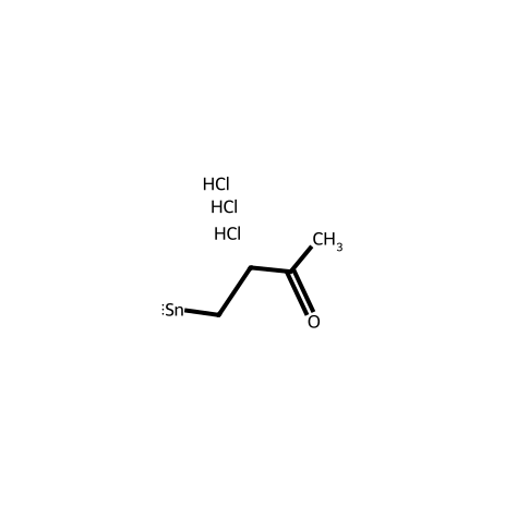 CC(=O)C[CH2][Sn].Cl.Cl.Cl